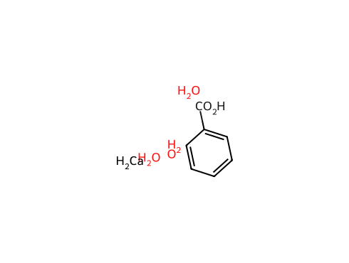 O.O.O.O=C(O)c1ccccc1.[CaH2]